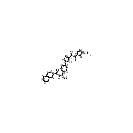 CCC(NC(=O)c1ccc2cnccc2c1)c1ccc(-c2csc(C(=O)Nc3cnn(C)c3)c2)cn1